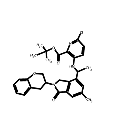 Cc1cc2c(c(C(C)Nc3ccc(Cl)nc3C(=O)OC(C)(C)C)c1)CN(C1COc3ccccc3C1)C2=O